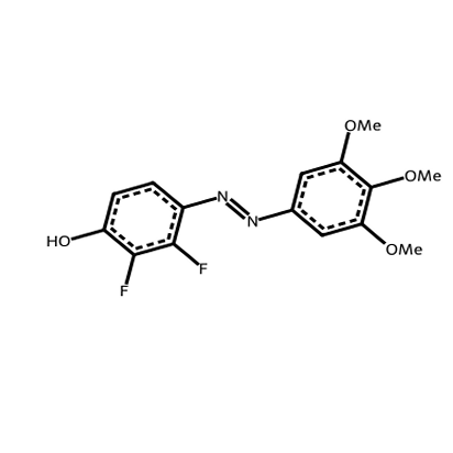 COc1cc(/N=N/c2ccc(O)c(F)c2F)cc(OC)c1OC